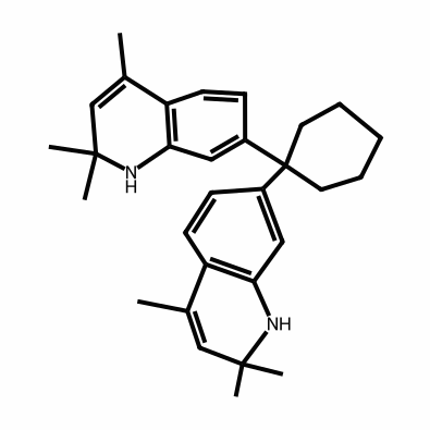 CC1=CC(C)(C)Nc2cc(C3(c4ccc5c(c4)NC(C)(C)C=C5C)CCCCC3)ccc21